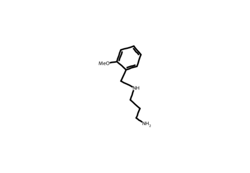 COc1ccccc1CNCCCN